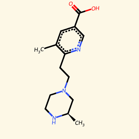 Cc1cc(C(=O)O)cnc1CCN1CCN[C@H](C)C1